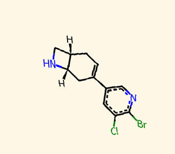 Clc1cc(C2=CC[C@H]3CN[C@H]3C2)cnc1Br